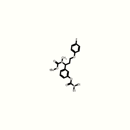 CCN(CC)C(=O)Oc1cccc(C(CCOc2ccc(F)cc2)N(C)C(=O)OC(C)(C)C)c1